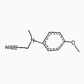 COc1ccc(N(C)CC#N)cc1